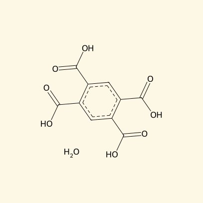 O.O=C(O)c1cc(C(=O)O)c(C(=O)O)cc1C(=O)O